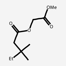 CCC(C)(C)CC(=O)OCC(=O)OC